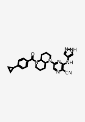 N#Cc1ncc(N2CCCC3C2CCCN3C(=O)c2ccc(C3CC3)cc2)nc1Nc1cn[nH]c1